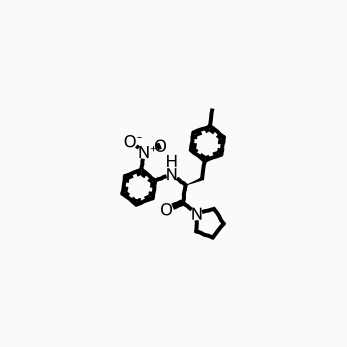 Cc1ccc(C[C@H](Nc2ccccc2[N+](=O)[O-])C(=O)N2CCCC2)cc1